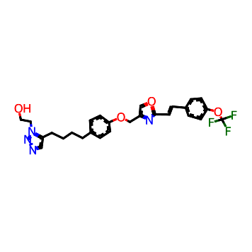 OCCn1nncc1CCCCc1ccc(OCc2coc(/C=C/c3ccc(OC(F)(F)F)cc3)n2)cc1